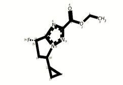 CCOC(=O)c1nc2n(n1)C(C1CC1)C[C@@H]2F